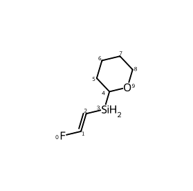 FC=C[SiH2]C1CCCCO1